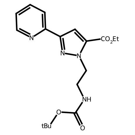 CCOC(=O)c1cc(-c2ccccn2)nn1CCNC(=O)OC(C)(C)C